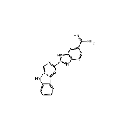 N=C(N)c1ccc2nc(-c3cc4c(cn3)[nH]c3ccccc34)[nH]c2c1